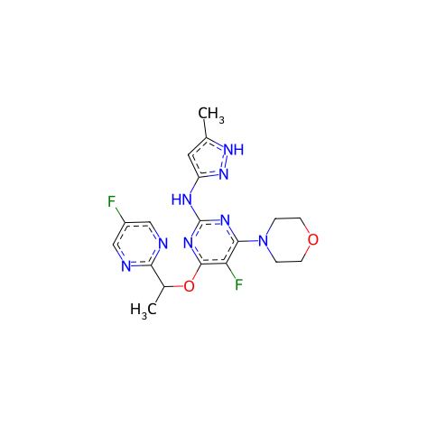 Cc1cc(Nc2nc(OC(C)c3ncc(F)cn3)c(F)c(N3CCOCC3)n2)n[nH]1